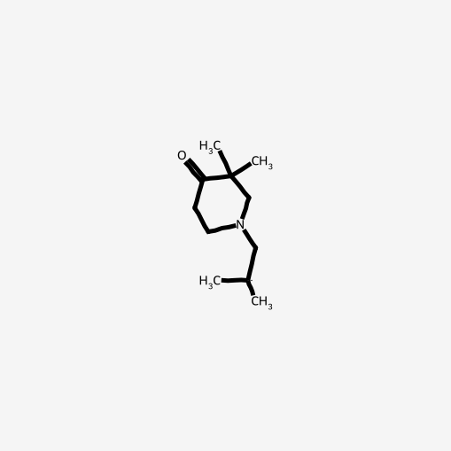 C[C](C)CN1CCC(=O)C(C)(C)C1